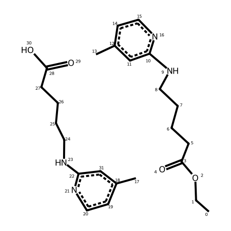 CCOC(=O)CCCCNc1cc(C)ccn1.Cc1ccnc(NCCCCC(=O)O)c1